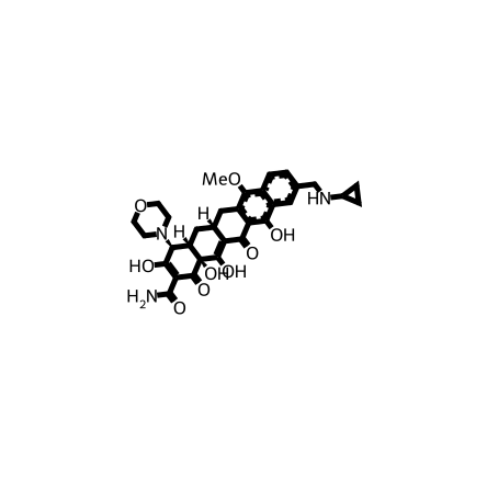 COc1c2c(c(O)c3cc(CNC4CC4)ccc13)C(=O)C1=C(O)[C@]3(O)C(=O)C(C(N)=O)=C(O)[C@@H](N4CCOCC4)[C@@H]3C[C@@H]1C2